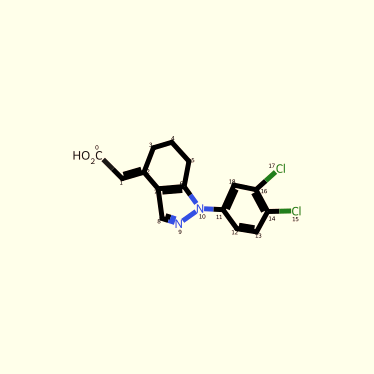 O=C(O)C=C1CCCc2c1cnn2-c1ccc(Cl)c(Cl)c1